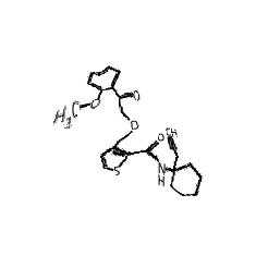 C#CC1(NC(=O)c2sccc2OCC(=O)c2ccccc2OC)CCCCC1